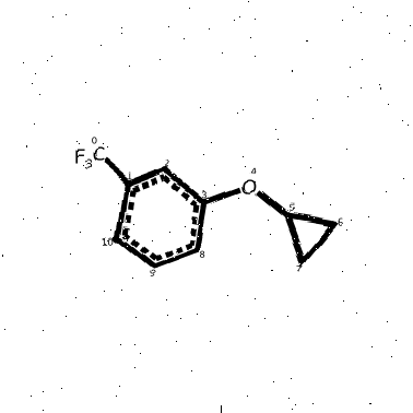 FC(F)(F)c1[c]c(OC2CC2)ccc1